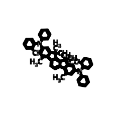 Cc1ccccc1N(c1ccccc1)c1cc(C)c2c(c1)C(C)(C)c1c-2ccc2c1C(C)(C)c1cc(N(C3=CC=CCC3C)c3ccccc3)cc(C)c1-2